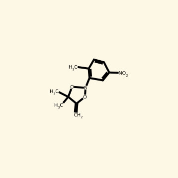 C=C1OB(c2cc([N+](=O)[O-])ccc2C)OC1(C)C